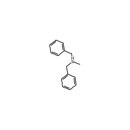 C[SiH](Cc1ccccc1)Cc1ccccc1